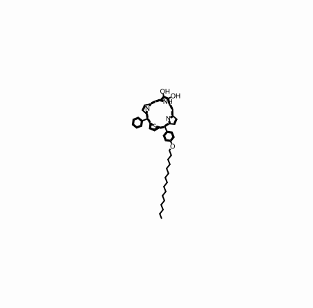 CCCCCCCCCCCCCCCCOc1ccc(-c2c3nc(cc4[nH]c(cc5nc(c(-c6ccccc6)c6ccc2s6)C=C5)c(O)c4O)C=C3)cc1